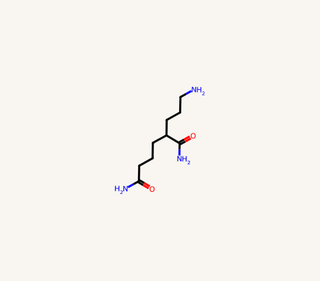 NCCCC(CCCC(N)=O)C(N)=O